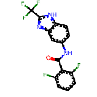 O=C(Nc1ccc2[nH]c(C(F)(F)F)nc2c1)c1c(F)cccc1F